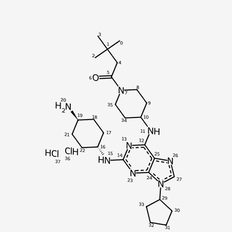 CC(C)(C)CC(=O)N1CCC(Nc2nc(N[C@H]3CC[C@H](N)CC3)nc3c2ncn3C2CCCC2)CC1.Cl.Cl